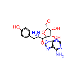 Nc1ncnc2c1ncn2[C@]1(C(=O)C(N)Cc2ccc(O)cc2)O[C@H](CO)[C@@H](O)[C@H]1O